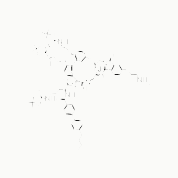 CCCCc1ccc(-c2ccc(C(=O)N[C@@H](CCCNC(=O)OC(C)(C)C)C(=O)N(C)[C@@H]3C(=O)N[C@@H](C)C(=O)N[C@H](CN4C(=O)c5ccc(OCCN)cc5C4=O)Cc4ccc(OCCNC(=O)OC(C)(C)C)c(c4)-c4cc3ccc4OCCNC(=O)OC(C)(C)C)cc2)cc1